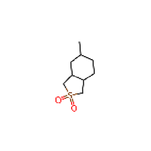 CC1CCC2CS(=O)(=O)CC2C1